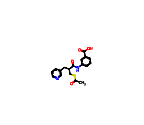 CC(=O)SCC(Cc1cccnc1)C(=O)Nc1cccc(C(=O)O)c1